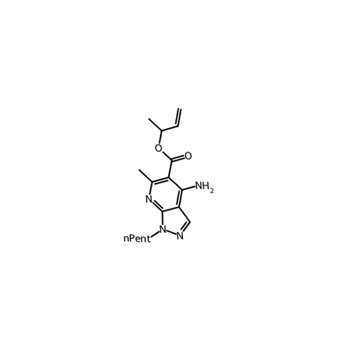 C=CC(C)OC(=O)c1c(C)nc2c(cnn2CCCCC)c1N